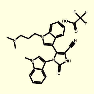 CN(C)CCCn1cc(-c2c(C#N)[nH]c(=O)n2-c2cn(C)c3ccccc23)c2ccccc21.O=C(O)C(F)(F)F